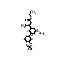 CCOC(=O)CC(N)c1cc(OC)cc(-c2cccc(OC(F)(F)F)c2)c1